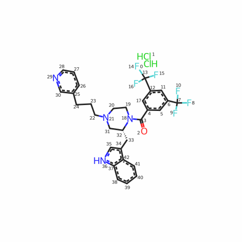 Cl.Cl.O=C(c1cc(C(F)(F)F)cc(C(F)(F)F)c1)N1CCN(CCCc2cccnc2)C[C@H]1Cc1c[nH]c2ccccc12